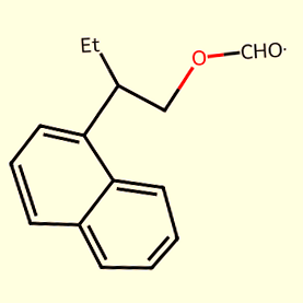 CCC(CO[C]=O)c1cccc2ccccc12